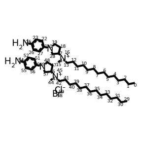 CCCCCCCCCCCCCC[N+](C)(C)C1CCN(c2ccc(N)cc2)C1.CCCCCCCCCCCCCC[N+](C)(C)C1CCN(c2ccc(N)cc2)C1.[Br-].[Cl-]